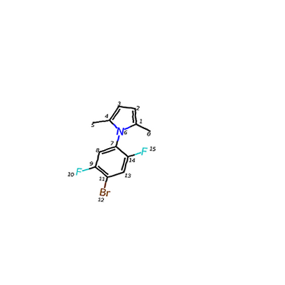 Cc1ccc(C)n1-c1cc(F)c(Br)cc1F